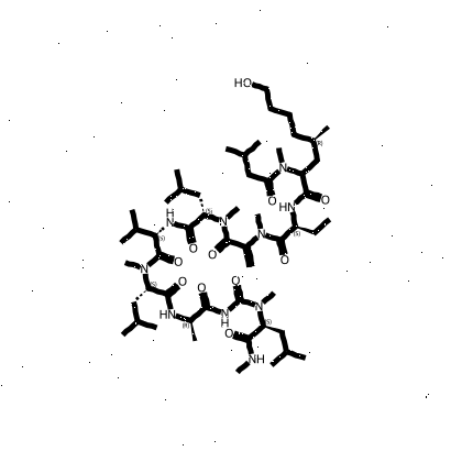 C=C(C(=O)N(C)[C@@H](CC(C)C)C(=O)N[C@H](C(=O)N(C)[C@@H](CC(C)C)C(=O)N[C@H](C)C(=O)NC(=O)N(C)[C@@H](CC(C)C)C(=O)NC)C(C)C)N(C)C(=O)[C@H](CC)NC(=O)C(C[C@H](C)CCCCO)N(C)C(=O)CC(C)C